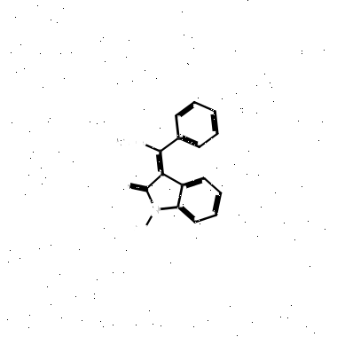 COC(=C1C(=O)N(C(C)=O)c2ccccc21)c1ccccc1